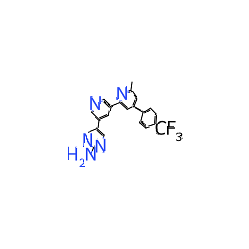 Cc1cc(-c2ccc(C(F)(F)F)cc2)cc(-c2cncc(-c3cnc(N)nc3)c2)n1